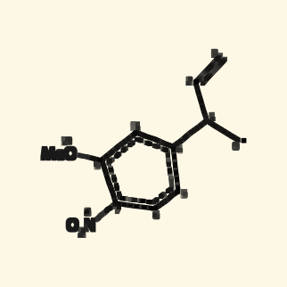 [CH2]C(C=C)c1ccc([N+](=O)[O-])c(OC)c1